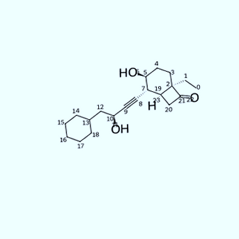 CC[C@@]12CC[C@H](O)[C@@H](C#C[C@@H](O)CC3CCCCC3)[C@@H]1CC2=O